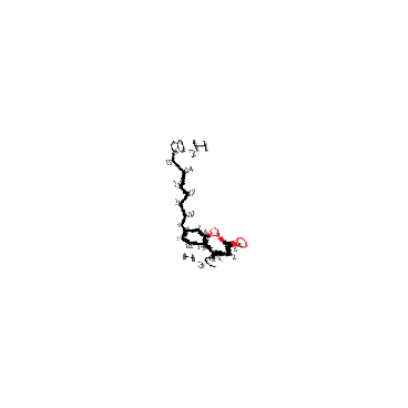 Cc1cc(=O)oc2cc(CCCCCCCC(=O)O)ccc12